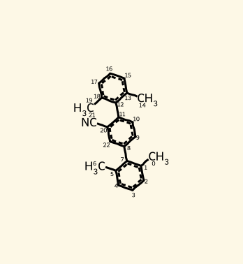 Cc1cccc(C)c1-c1ccc(-c2c(C)cccc2C)c(C#N)c1